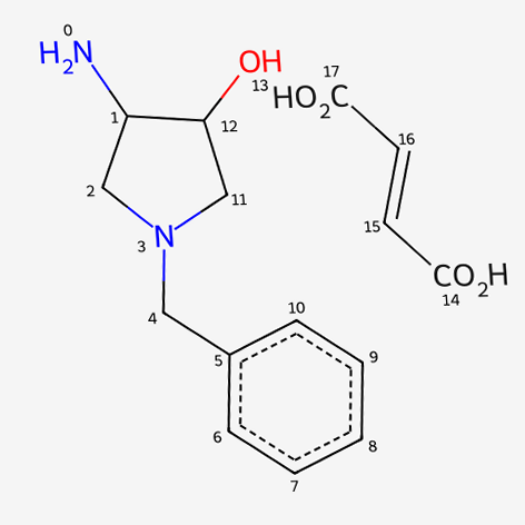 NC1CN(Cc2ccccc2)CC1O.O=C(O)C=CC(=O)O